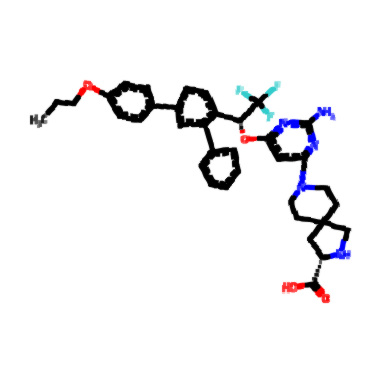 CCCOc1ccc(-c2ccc([C@@H](Oc3cc(N4CCC5(CC4)CN[C@H](C(=O)O)C5)nc(N)n3)C(F)(F)F)c(-c3ccccc3)c2)cc1